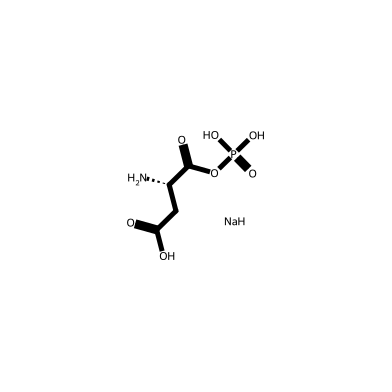 N[C@@H](CC(=O)O)C(=O)OP(=O)(O)O.[NaH]